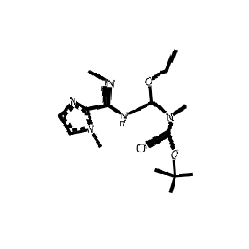 CCOC(N/C(=N/C)c1nccn1C)N(C)C(=O)OC(C)(C)C